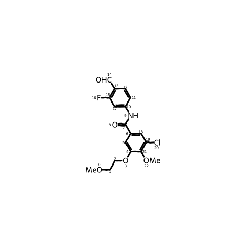 COCCOc1cc(C(=O)Nc2ccc(C=O)c(F)c2)cc(Cl)c1OC